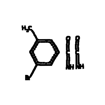 Cc1cccc(Br)c1.N=C=O.N=C=O